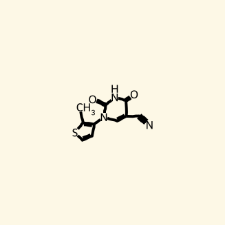 Cc1sccc1-n1cc(C#N)c(=O)[nH]c1=O